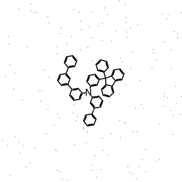 c1ccc(-c2cccc(-c3cccc(N(c4cccc(-c5ccccc5)c4)c4cccc(C5(c6ccccc6)c6ccccc6-c6ccccc65)c4)c3)c2)cc1